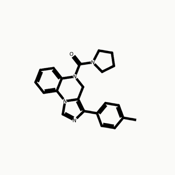 Cc1ccc(-c2ncn3c2CN(C(=O)N2CCCC2)c2ccccc2-3)cc1